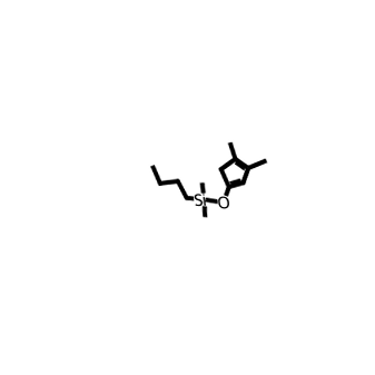 CCCC[Si](C)(C)OC1=CC(C)=C(C)C1